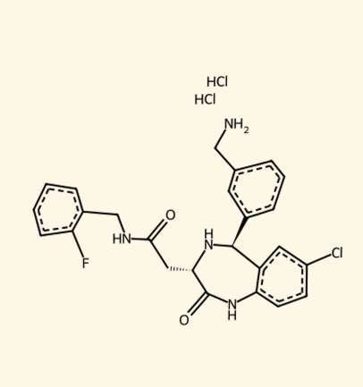 Cl.Cl.NCc1cccc([C@@H]2N[C@@H](CC(=O)NCc3ccccc3F)C(=O)Nc3ccc(Cl)cc32)c1